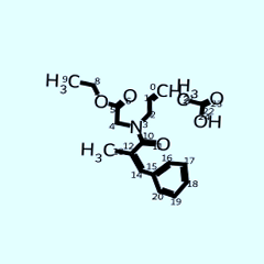 C=CCN(CC(=O)OCC)C(=O)C(C)=Cc1ccccc1.CC(=O)O